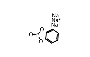 [Na+].[Na+].[Na+].[O-]P([O-])[O-].c1ccccc1